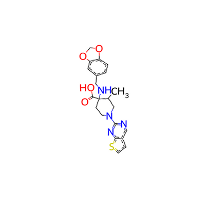 CC1CN(c2ncc3ccsc3n2)CCC1(NCc1ccc2c(c1)OCO2)C(=O)O